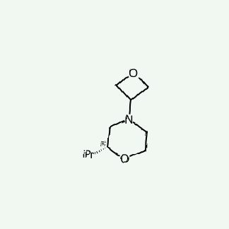 CC(C)[C@@H]1CN(C2COC2)CCO1